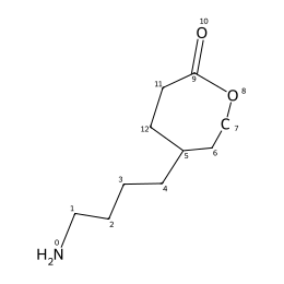 NCCCCC1CCOC(=O)CC1